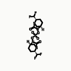 O=C1N2C[C@@H](CC[C@H]2C(F)F)N1OS(=O)(=O)ON1C(=O)N2C[C@H]1CC[C@H]2C(F)F